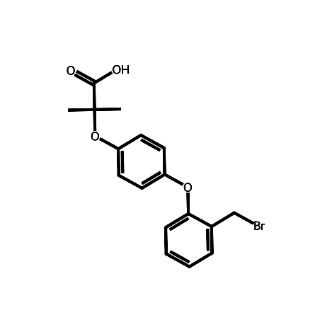 CC(C)(Oc1ccc(Oc2ccccc2CBr)cc1)C(=O)O